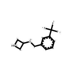 FC(F)(F)c1cccc(COC2CNC2)c1